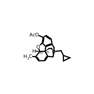 CC(=O)Oc1ccc2c3c1O[C@H]1C(C)=CC=C4C(C2)N(CC2CC2)CC[C@]431